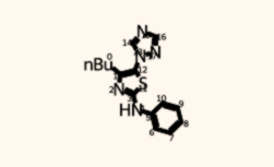 CCCCc1nc(Nc2ccccc2)sc1-n1cncn1